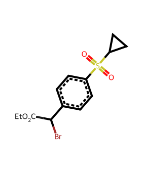 CCOC(=O)C(Br)c1ccc(S(=O)(=O)C2CC2)cc1